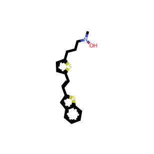 CN(O)CCCc1ccc(C=Cc2cc3ccccc3s2)s1